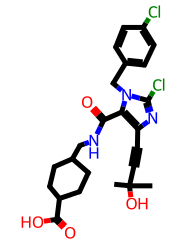 CC(C)(O)C#Cc1nc(Cl)n(Cc2ccc(Cl)cc2)c1C(=O)NCC1CCC(C(=O)O)CC1